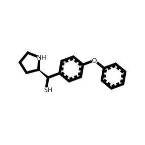 SC(c1ccc(Oc2ccccc2)cc1)[C@H]1CCCN1